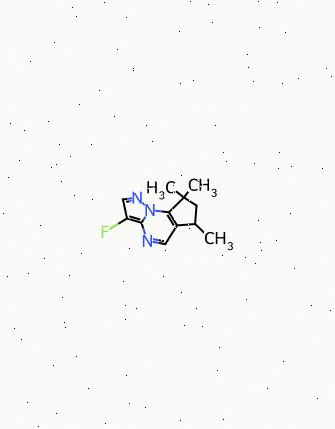 CC1CC(C)(C)c2c1cnc1c(F)cnn21